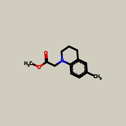 COC(=O)CN1CCCc2cc(C)ccc21